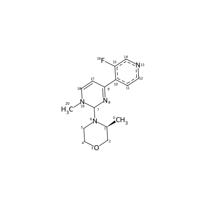 C[C@H]1COCCN1C1N=C(c2ccncc2F)C=CN1C